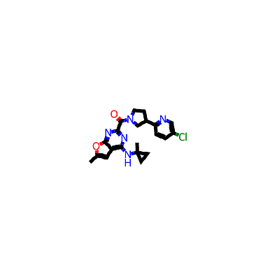 Cc1cc2c(NC3(C)CC3)nc(C(=O)N3CCC(c4ccc(Cl)cn4)C3)nc2o1